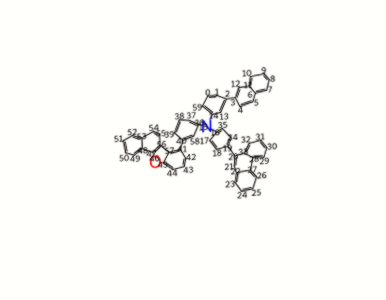 c1cc(-c2ccc3ccccc3c2)cc(N(c2ccc(-c3cc4ccccc4c4ccccc34)cc2)c2cccc(-c3cccc4oc5c6ccccc6ccc5c34)c2)c1